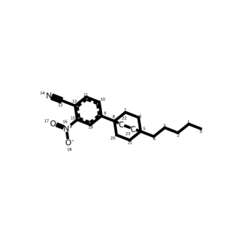 CCCCCC12CCC(c3ccc(C#N)c([N+](=O)[O-])c3)(CC1)CC2